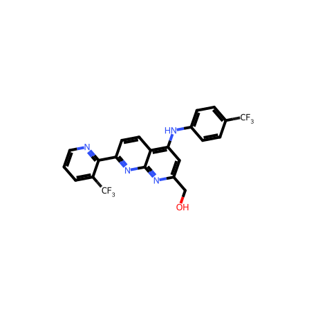 OCc1cc(Nc2ccc(C(F)(F)F)cc2)c2ccc(-c3ncccc3C(F)(F)F)nc2n1